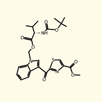 COC(=O)c1csc(C(=O)c2cn(COC(=O)[C@@H](NC(=O)OC(C)(C)C)C(C)C)c3ccccc23)n1